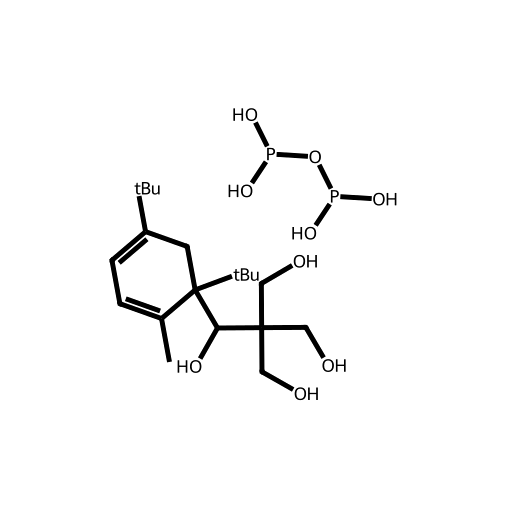 CC1=CC=C(C(C)(C)C)CC1(C(O)C(CO)(CO)CO)C(C)(C)C.OP(O)OP(O)O